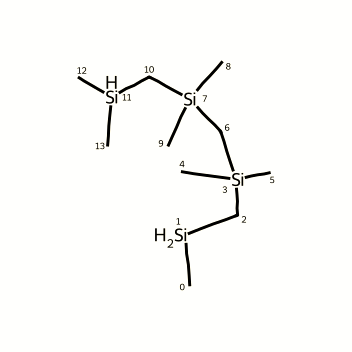 C[SiH2]C[Si](C)(C)C[Si](C)(C)C[SiH](C)C